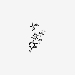 CC(C)(C)[Si](C)(C)OC[C@H]1O[C@@H](n2ccc(=O)[nH]c2=O)[C@H](O)[C@@H]1O[Si](C)(C)C(C)(C)C